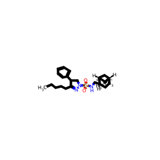 CCCCCC1=NN(S(=O)(=O)NC[C@@H]2CC[C@H]3C[C@@H]2C3(C)C)CC1c1ccccc1